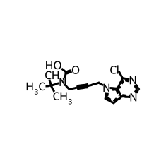 CC(C)(C)N(CC#CCn1ccc2ncnc(Cl)c21)C(=O)O